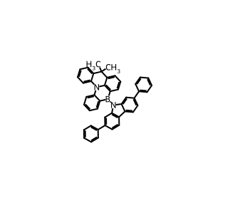 CC1(C)c2ccccc2N2c3ccccc3B(n3c4cc(-c5ccccc5)ccc4c4ccc(-c5ccccc5)cc43)c3cccc1c32